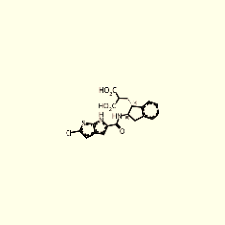 O=C(N[C@@H]1Cc2ccccc2[C@H]1CC(C(=O)O)C(=O)O)c1cc2cc(Cl)sc2[nH]1